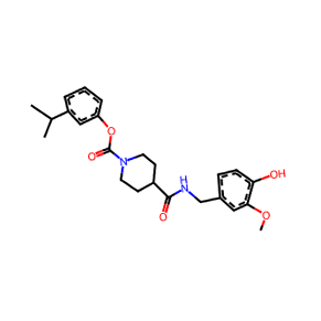 COc1cc(CNC(=O)C2CCN(C(=O)Oc3cccc(C(C)C)c3)CC2)ccc1O